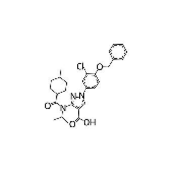 CC1CCC(C(=O)N(c2nn(-c3ccc(OCc4ccccc4)c(Cl)c3)cc2C(=O)O)C(C)C)CC1